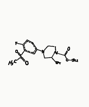 CC(C)C1CN(c2ccc(F)c(S(C)(=O)=O)c2)CCN1C(=O)OC(C)(C)C